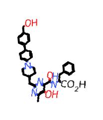 Cc1nc(CC2CCN(c3ccc(-c4ccc(CO)cc4)cc3)CC2)nc(C(=O)NC(Cc2ccccc2)C(=O)O)c1O